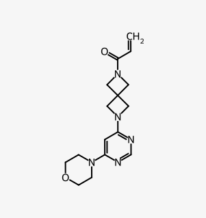 C=CC(=O)N1CC2(C1)CN(c1cc(N3CCOCC3)ncn1)C2